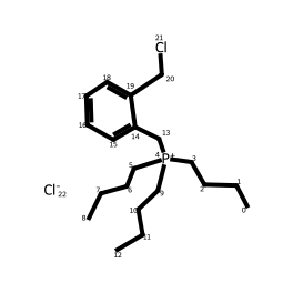 CCCC[P+](CCCC)(CCCC)Cc1ccccc1CCl.[Cl-]